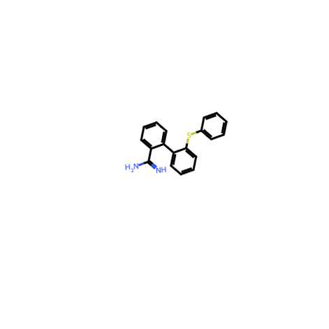 N=C(N)c1ccccc1-c1ccccc1Sc1ccccc1